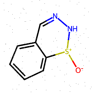 [O-][S+]1NN=Cc2ccccc21